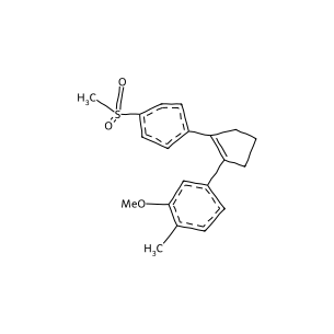 COc1cc(C2=C(c3ccc(S(C)(=O)=O)cc3)CCC2)ccc1C